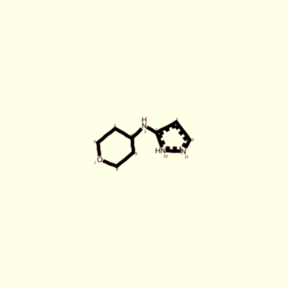 c1cc(NC2CCOCC2)[nH]n1